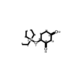 CC[Si](CC)(CC)OC1CCC(=O)CC1=O